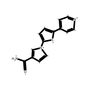 NC(=O)c1ccn(-c2ccc(-c3ccncc3)s2)c1